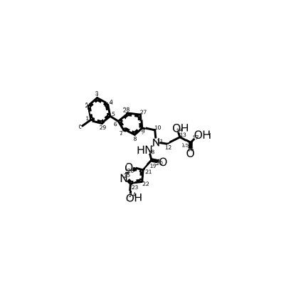 Cc1cccc(-c2ccc(CN(CC(O)C(=O)O)NC(=O)c3cc(O)no3)cc2)c1